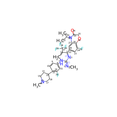 C=C(/C(=N\C(=N/C)Nc1ccc(C2CCN(C)CC2)c(F)c1)c1cc(F)c2c(c1)N(C(C)C)C(=O)CO2)C(F)(F)F